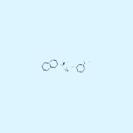 COc1cccc(C[As](C)CC(=O)c2ccc3ccccc3c2)c1